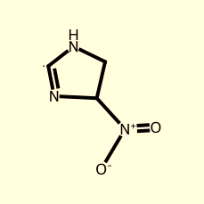 O=[N+]([O-])C1CN[C]=N1